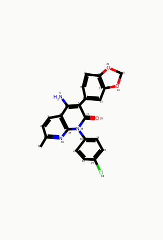 Cc1ccc2c(N)c(-c3ccc4c(c3)OCO4)c(=O)n(-c3ccc(Cl)cc3)c2n1